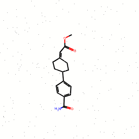 COC(=O)C=C1CCC(c2ccc(C(N)=O)cc2)CC1